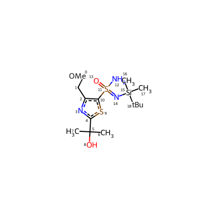 COCc1nc(C(C)(C)O)sc1S(N)(=O)=N[Si](C)(C)C(C)(C)C